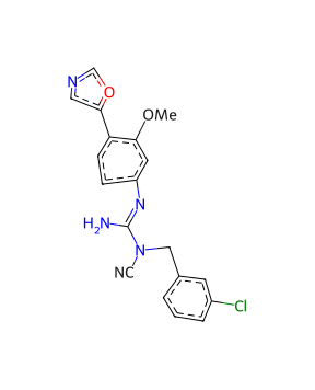 COc1cc(/N=C(\N)N(C#N)Cc2cccc(Cl)c2)ccc1-c1cnco1